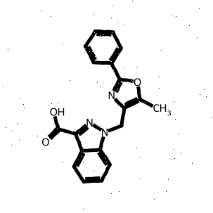 Cc1oc(-c2ccccc2)nc1Cn1nc(C(=O)O)c2ccccc21